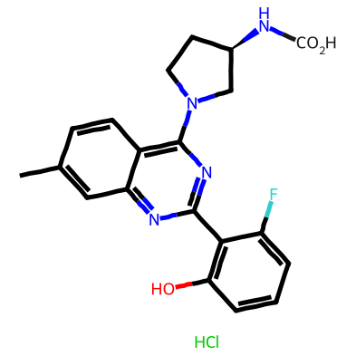 Cc1ccc2c(N3CC[C@@H](NC(=O)O)C3)nc(-c3c(O)cccc3F)nc2c1.Cl